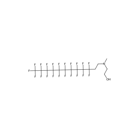 CN(CCO)CCC(F)(F)C(F)(F)C(F)(F)C(F)(F)C(F)(F)C(F)(F)C(F)(F)C(F)(F)C(F)(F)C(F)(F)F